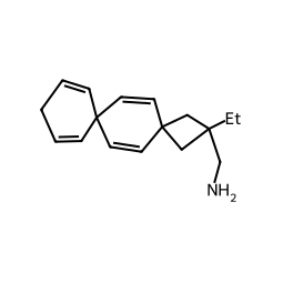 CCC1(CN)CC2(C=CC3(C=CCC=C3)C=C2)C1